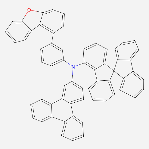 c1cc(-c2cccc3oc4ccccc4c23)cc(N(c2ccc3c4ccccc4c4ccccc4c3c2)c2cccc3c2-c2ccccc2C32c3ccccc3-c3ccccc32)c1